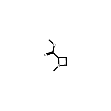 COC(=O)C1CCN1C